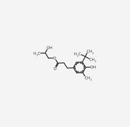 Cc1cc(CCC(=O)OCC(C)O)cc(C(C)(C)C)c1O